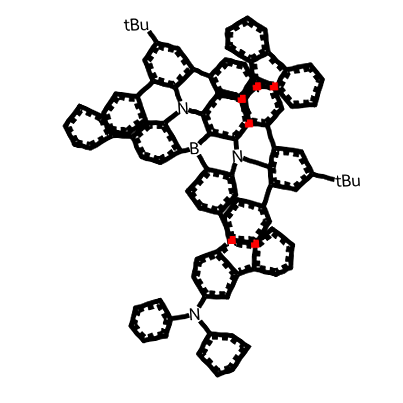 CC(C)(C)c1cc(-c2ccccc2)c(N2c3cc(-c4ccccc4)ccc3B3c4ccc(-n5c6ccccc6c6cc(N(c7ccccc7)c7ccccc7)ccc65)cc4N(c4c(-c5ccccc5)cc(C(C)(C)C)cc4-c4ccccc4)c4cc(-n5c6ccccc6c6ccccc65)cc2c43)c(-c2ccccc2)c1